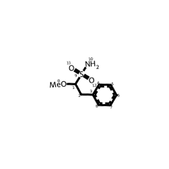 COC(Cc1ccccc1)S(N)(=O)=O